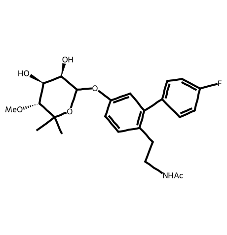 CO[C@@H]1[C@@H](O)[C@@H](O)C(Oc2ccc(CCNC(C)=O)c(-c3ccc(F)cc3)c2)OC1(C)C